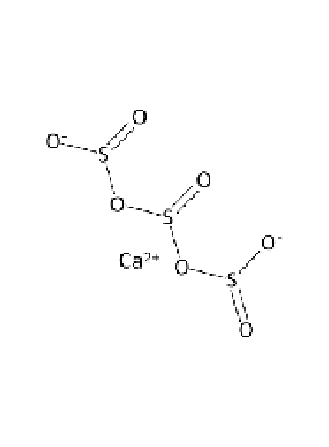 O=S([O-])OS(=O)OS(=O)[O-].[Ca+2]